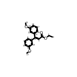 CCOC(=O)C=C(c1cccc(OC)c1)c1cccc(OC)c1